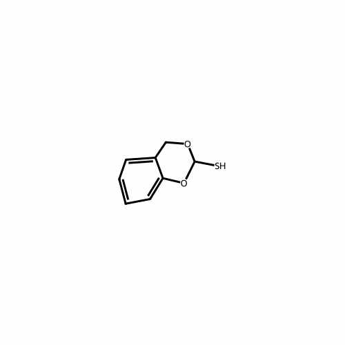 SC1OCc2ccccc2O1